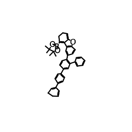 CC1(C)OB(C2=c3c(oc4ccc(-c5ccc(-c6ccc(C7=CCCC=C7)cc6)cc5-c5ccccc5)cc34)=CCC2)OC1(C)C